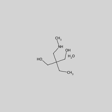 CCC(CO)(CO)CNC.O